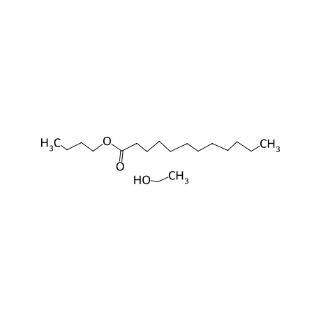 CCCCCCCCCCCC(=O)OCCCC.CCO